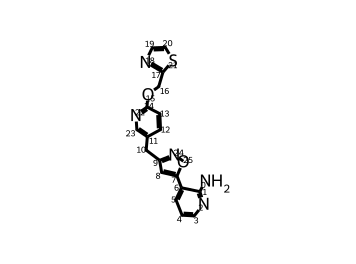 Nc1ncccc1-c1cc(Cc2ccc(OCc3nccs3)nc2)no1